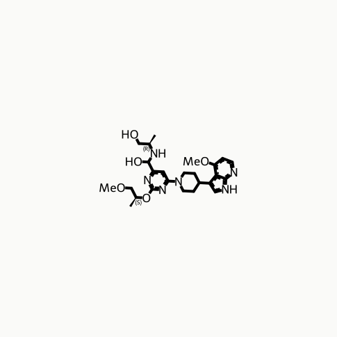 COC[C@H](C)Oc1nc(C(O)N[C@H](C)CO)cc(N2CCC(c3c[nH]c4nccc(OC)c34)CC2)n1